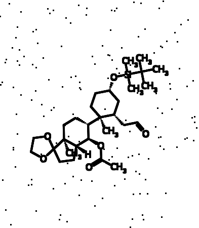 CC(=O)O[C@@H]1[C@@H]([C@@]2(C)CC[C@H](O[Si](C)(C)C(C)(C)C)C[C@@H]2CC=O)CC[C@@]2(C)[C@H]1CCC21OCCO1